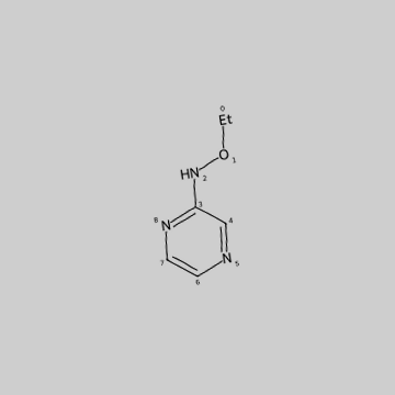 CCONc1cnccn1